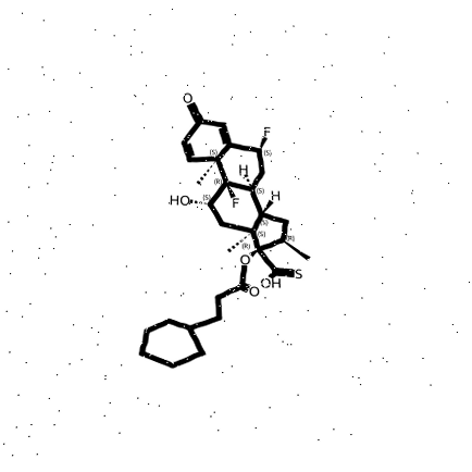 C[C@@H]1C[C@H]2[C@@H]3C[C@H](F)C4=CC(=O)C=C[C@]4(C)[C@@]3(F)[C@@H](O)C[C@]2(C)[C@@]1(OC(=O)CCC1CCCCC1)C(O)=S